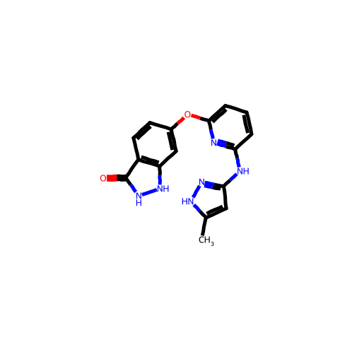 Cc1cc(Nc2cccc(Oc3ccc4c(=O)[nH][nH]c4c3)n2)n[nH]1